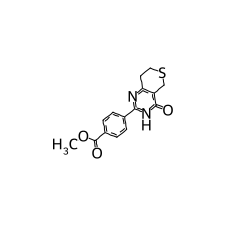 COC(=O)c1ccc(-c2nc3c(c(=O)[nH]2)CSCC3)cc1